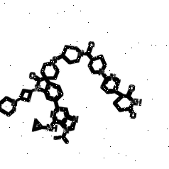 CC(C)n1cnc2cc(-c3ccc4c(c3)N([C@H]3C[C@@H](N5CCCCC5)C3)C(=O)C43CCN(SC4CCN(C(=O)C5CCN(c6ccc(C7CCC(=O)NC7=O)cn6)CC5)CC4)CC3)nc(NC3CC3)c21